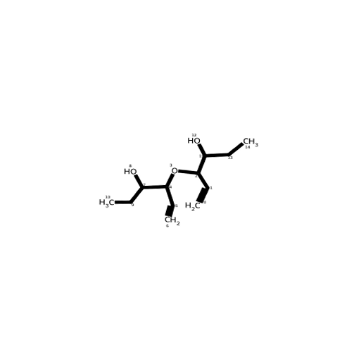 C=CC(OC(C=C)C(O)CC)C(O)CC